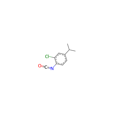 CC(C)c1ccc(N=C=O)c(Cl)c1